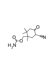 CC1(C)CC(=O)C(C#N)CC1(C)COC(N)=O